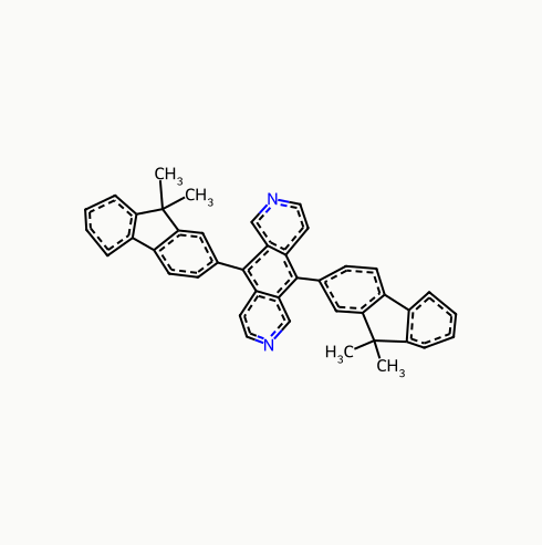 CC1(C)c2ccccc2-c2ccc(-c3c4ccncc4c(-c4ccc5c(c4)C(C)(C)c4ccccc4-5)c4ccncc34)cc21